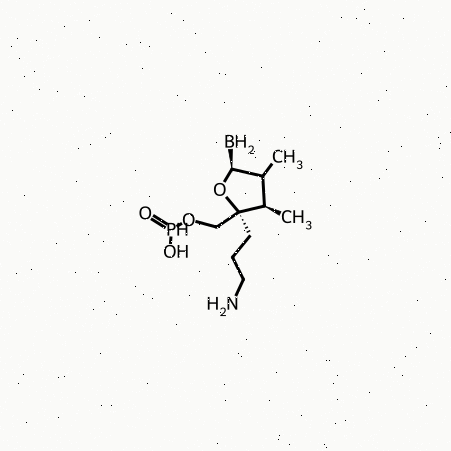 B[C@@H]1O[C@](CCCN)(CO[PH](=O)O)[C@H](C)C1C